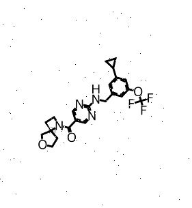 O=C(c1cnc(NCc2cc(OC(F)(F)F)cc(C3CC3)c2)nc1)N1CC[C@]12CCOC2